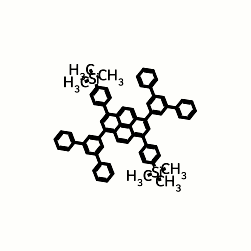 C[Si](C)(C)c1ccc(-c2cc(-c3cc(-c4ccccc4)cc(-c4ccccc4)c3)c3ccc4c(-c5ccc([Si](C)(C)C)cc5)cc(-c5cc(-c6ccccc6)cc(-c6ccccc6)c5)c5ccc2c3c45)cc1